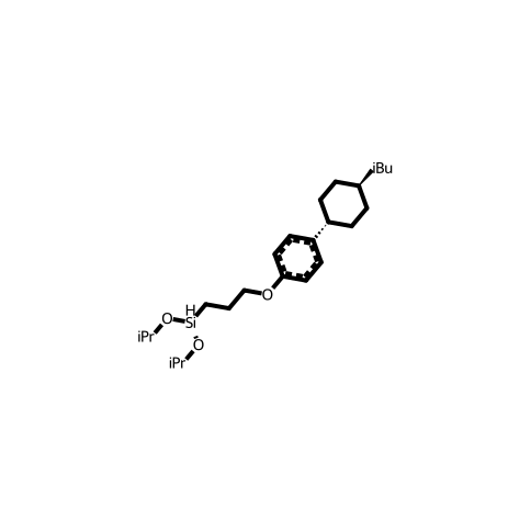 CCC(C)[C@H]1CC[C@H](c2ccc(OCCC[SiH](OC(C)C)OC(C)C)cc2)CC1